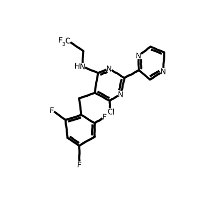 Fc1cc(F)c(Cc2c(Cl)nc(-c3cnccn3)nc2NCC(F)(F)F)c(F)c1